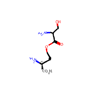 NC(CO)C(=O)OC[C@H](N)C(=O)O